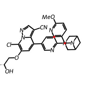 COc1ccc(CN2C3CC2CN(c2ccc(-c4cc(OC[C@@H](C)O)c(Cl)n5ncc(C#N)c45)cn2)C3)cn1